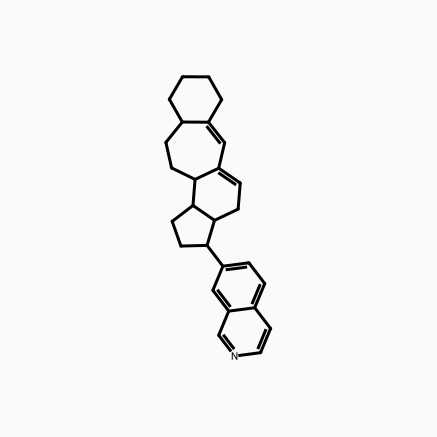 C1=C2CCCCC2CCC2C1=CCC1C(c3ccc4ccncc4c3)CCC21